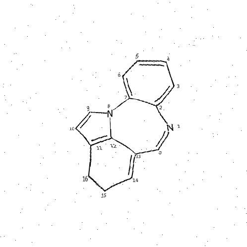 C1=Nc2ccccc2-n2ccc3c2C1=CCC3